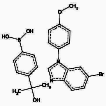 CC(C)(O)c1ccc(B(O)O)cc1.COc1ccc(-n2cnc3ccc(Br)cc32)cc1